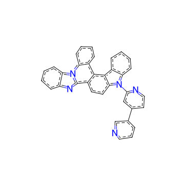 c1cncc(-c2ccnc(-n3c4ccccc4c4c5c6ccccc6n6c7ccccc7nc6c5ccc43)c2)c1